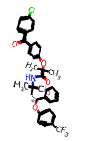 CC(C)(C[C@@H](Oc1ccc(C(F)(F)F)cc1)c1ccccc1)NC(=O)C(C)(C)Oc1ccc(C(=O)c2ccc(Cl)cc2)cc1